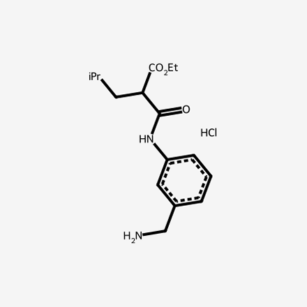 CCOC(=O)C(CC(C)C)C(=O)Nc1cccc(CN)c1.Cl